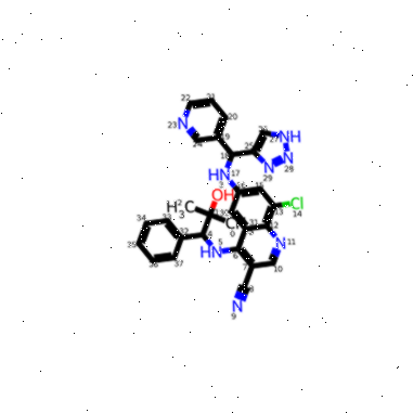 CC(C)(O)C(Nc1c(C#N)cnc2c(Cl)cc(NC(c3cccnc3)c3c[nH]nn3)cc12)c1ccccc1